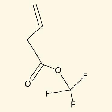 C=CCC(=O)OC(F)(F)F